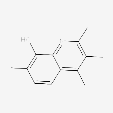 Cc1nc2c(O)c(I)ccc2c(C)c1C